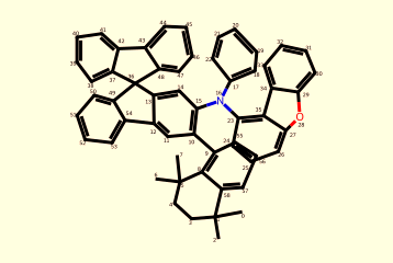 CC1(C)CCC(C)(C)c2c(-c3cc4c(cc3N(c3ccccc3)c3cccc5oc6ccccc6c35)C3(c5ccccc5-c5ccccc53)c3ccccc3-4)cccc21